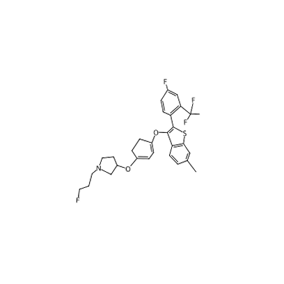 Cc1ccc2c(OC3=CC=C(OC4CCN(CCCF)C4)CC3)c(-c3ccc(F)cc3C(C)(F)F)sc2c1